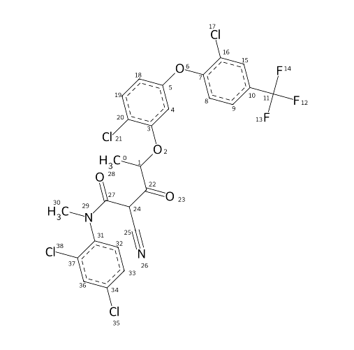 CC(Oc1cc(Oc2ccc(C(F)(F)F)cc2Cl)ccc1Cl)C(=O)C(C#N)C(=O)N(C)c1ccc(Cl)cc1Cl